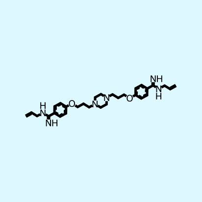 C=CCNC(=N)c1ccc(OCCCN2CCN(CCCOc3ccc(C(=N)NCC=C)cc3)CC2)cc1